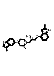 Cc1cc2c(OC[C@@H](O)CN3CC[C@@H](c4ccc5scc(C)c5c4)C[C@@H]3C)cccc2[nH]1